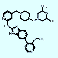 COc1cncnc1-c1ccc2nc(Nc3cc(CN4CCN(SN5CC(C)OC(C)C5)CC4)ccn3)[nH]c2c1